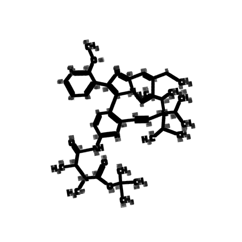 CCc1ccn2c(-c3ccc(NC(=O)C(C)N(C)C(=O)OC(C)(C)C)nc3C#C[Si](C(C)C)(C(C)C)C(C)C)c(-c3cccnc3OC)nc2c1